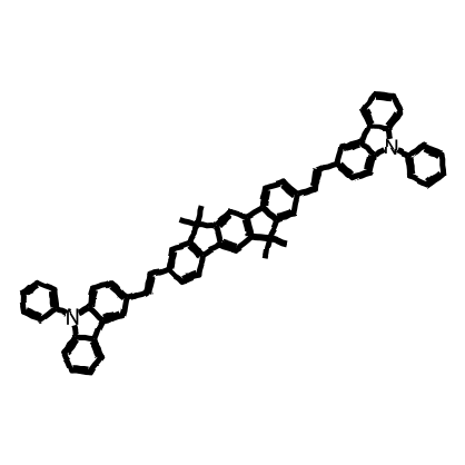 CC1(C)c2cc(/C=C/c3ccc4c(c3)c3ccccc3n4-c3ccccc3)ccc2-c2cc3c(cc21)-c1ccc(/C=C/c2ccc4c(c2)c2ccccc2n4-c2ccccc2)cc1C3(C)C